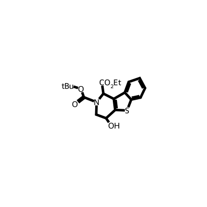 CCOC(=O)C1c2c(sc3ccccc23)C(O)CN1C(=O)OC(C)(C)C